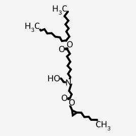 CCCCCCCCC(CCCCCCCC)OC(=O)CCCCCCCN(CCO)CCCC(=O)OCC1CC1CCCCCC